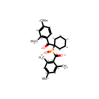 COc1ccc(C(=O)C2([P](=O)C(=O)c3c(C)cc(C(C)(C)C)cc3C)CCCCC2)c(OC)c1